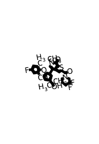 Cc1cc(F)cc(C)c1Oc1ccc(C(C)(C)O)cc1-c1cn(C)c(=O)c2sc(C(=O)N3CCCC(F)(F)C3)cc12